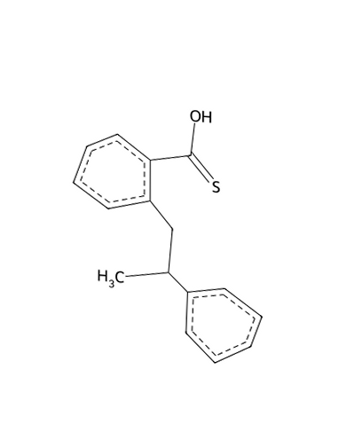 CC(Cc1ccccc1C(O)=S)c1ccccc1